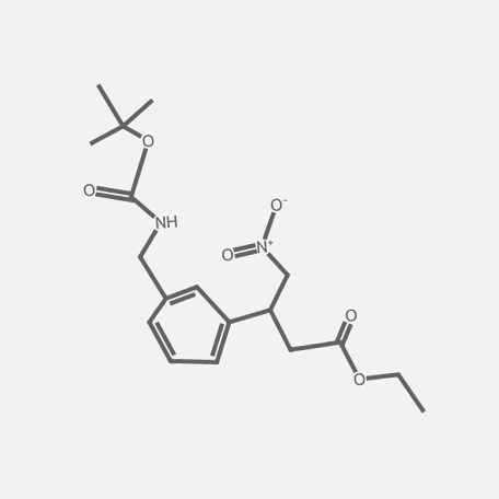 CCOC(=O)CC(C[N+](=O)[O-])c1cccc(CNC(=O)OC(C)(C)C)c1